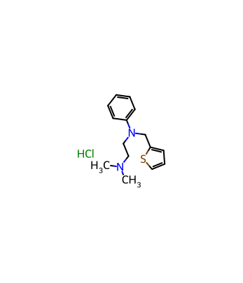 CN(C)CCN(Cc1cccs1)c1ccccc1.Cl